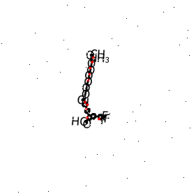 CC(=O)NCCOCCOCCOCCOCCOCCOCCC(=O)N1CCC(c2ccc(-c3cc(C(=O)O)cc4cc(-c5ccc(C(F)(F)F)cc5)ccc34)cc2)CC1